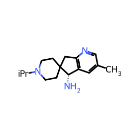 Cc1cnc2c(c1)[C@H](N)C1(CCN(C(C)C)CC1)C2